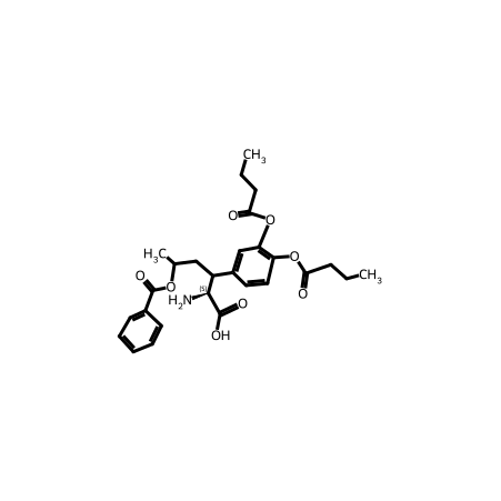 CCCC(=O)Oc1ccc(C(CC(C)OC(=O)c2ccccc2)[C@H](N)C(=O)O)cc1OC(=O)CCC